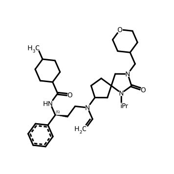 C=CN(CC[C@H](NC(=O)C1CCC(C)CC1)c1ccccc1)C1CCC2(C1)CN(CC1CCOCC1)C(=O)N2C(C)C